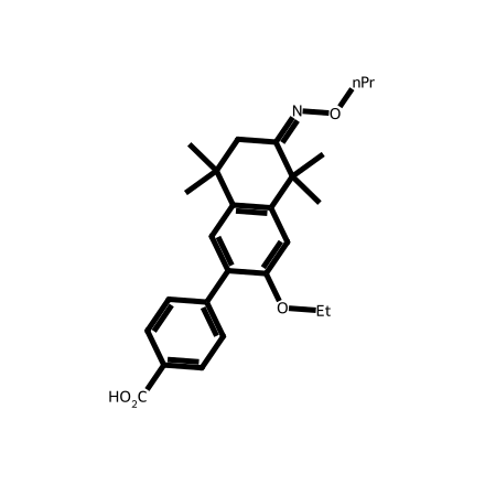 CCCON=C1CC(C)(C)c2cc(-c3ccc(C(=O)O)cc3)c(OCC)cc2C1(C)C